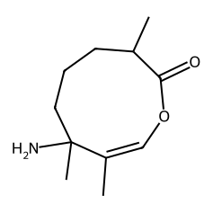 C/C1=C/OC(=O)C(C)CCCC1(C)N